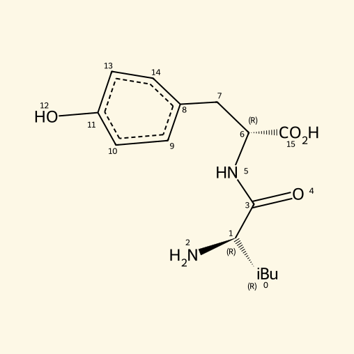 CC[C@@H](C)[C@@H](N)C(=O)N[C@H](Cc1ccc(O)cc1)C(=O)O